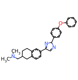 CN(C)CC1CCc2cc(C3=NC(c4ccc(Oc5ccccc5)cc4)N=C3)ccc2C1